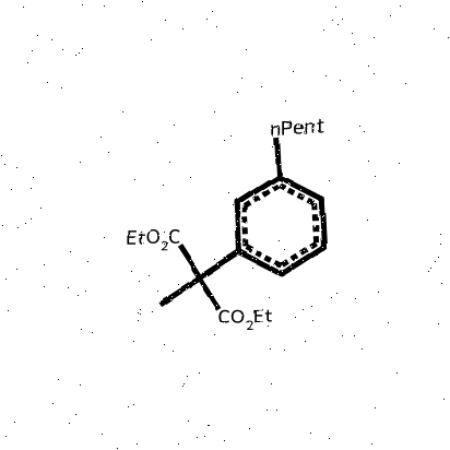 CCCCCc1cccc(C(C)(C(=O)OCC)C(=O)OCC)c1